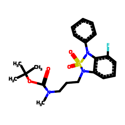 CN(CCCN1c2cccc(F)c2N(c2ccccc2)S1(=O)=O)C(=O)OC(C)(C)C